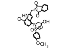 COc1ccc(S(=O)(=O)N(CC(=O)O)c2ccc(Cl)c3[nH]c(CN4C(=O)c5ccccc5C4=O)cc23)cc1